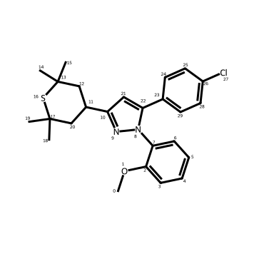 COc1ccccc1-n1nc(C2CC(C)(C)SC(C)(C)C2)cc1-c1ccc(Cl)cc1